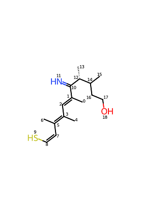 C\C(=C/C(C)=C(C)/C=C\S)C(=N)[C@H](C)C(C)CCO